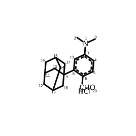 CN(C)c1ccc(C=O)c(C23CC4CC(CC(C4)C2)C3)c1.Cl